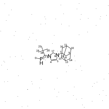 CPC(N1C=CN(C23CC4CC(CC(C4)C2)C3)C1)C(C)(C)C